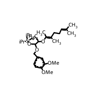 COc1ccc(COC(O[Si](C(C)C)(C(C)C)C(C)C)C(C)O/C(C)=C(\C)CCC=C(C)C)cc1OC